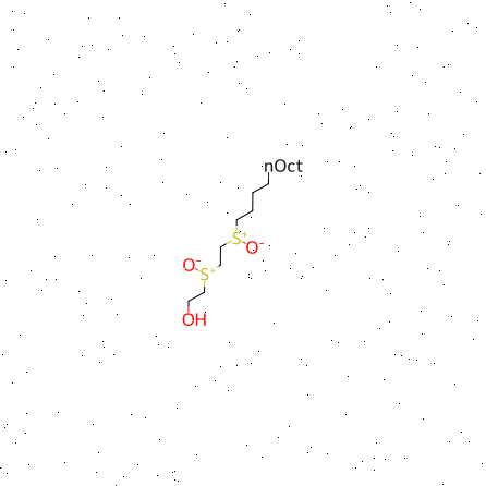 CCCCCCCCCCCC[S+]([O-])CC[S+]([O-])CCO